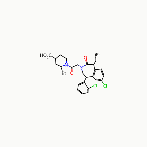 CCC1CC(C(=O)O)CCN1C(=O)CN1CC(c2ccccc2Cl)c2cc(Cl)ccc2C(CC(C)C)C1=O